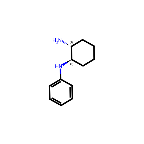 N[C@@H]1CCCC[C@H]1Nc1ccccc1